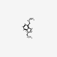 CCn1nnc2c(CON)cccc21